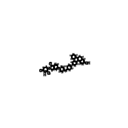 O=C1CC[C@H](N2Cc3cc(N4CCN(CC5CCN(c6ccc([C@@H]7c8ccc(O)cc8CC[C@@H]7C7=CCCCC7)cc6)CC5)CC4)ccc3C2=O)C(=O)N1